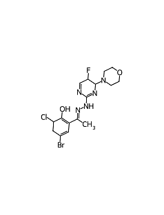 C/C(=N\NC1=NC(N2CCOCC2)C(F)C=N1)C1=C(O)C(Cl)CC(Br)=C1